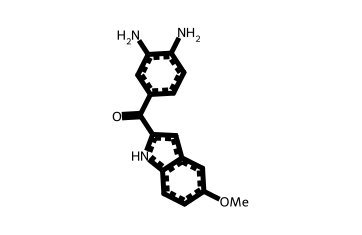 COc1ccc2[nH]c(C(=O)c3ccc(N)c(N)c3)cc2c1